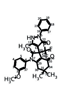 COc1cccc(N2C(=O)C(c3c(C)[nH]n(-c4ccccc4)c3=O)(C(F)(F)F)C3=C2CC(C)(C)CC3=O)c1